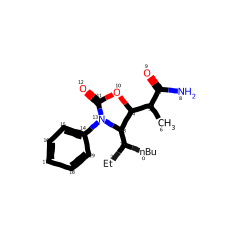 CCCCC(CC)C1C(C(C)C(N)=O)OC(=O)N1c1ccccc1